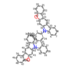 N#CC1C=C(n2c3ccccc3c3cc4c(cc32)oc2ccccc24)C=C(c2ccccc2-n2c3c#cccc3c3cc4c(cc32)oc2ccccc24)C1